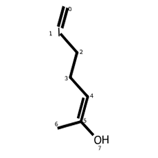 C=ICC/C=C(\C)O